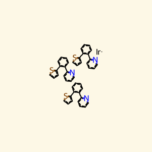 [Ir].c1ccc(-c2ccccc2-c2cccs2)nc1.c1ccc(-c2ccccc2-c2cccs2)nc1.c1ccc(-c2ccccc2-c2cccs2)nc1